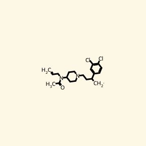 [CH2]C(CCN1CCC(N(CC=C)C(C)=O)CC1)c1ccc(Cl)c(Cl)c1